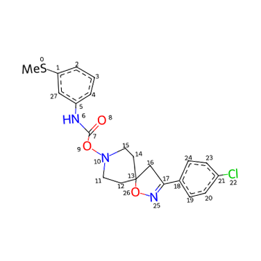 CSc1cccc(NC(=O)ON2CCC3(CC2)CC(c2ccc(Cl)cc2)=NO3)c1